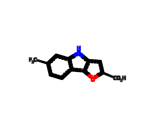 O=C(O)c1cc2[nH]c3cc(C(F)(F)F)ccc3c2o1